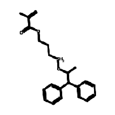 C=C(C)C(=O)OCCC[SiH2]OC(C)C(c1ccccc1)c1ccccc1